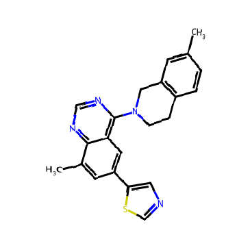 Cc1ccc2c(c1)CN(c1ncnc3c(C)cc(-c4cncs4)cc13)CC2